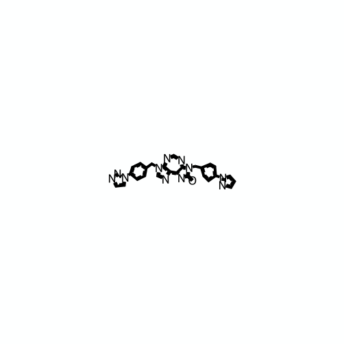 O=c1nc2c3ncn(Cc4ccc(-n5ccnn5)cc4)c3ncnc-2n1Cc1ccc(-n2cccn2)cc1